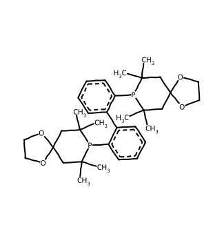 CC1(C)CC2(CC(C)(C)P1c1ccccc1-c1ccccc1P1C(C)(C)CC3(CC1(C)C)OCCO3)OCCO2